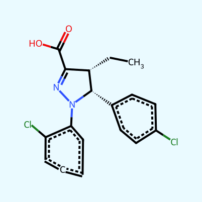 CC[C@H]1C(C(=O)O)=NN(c2ccccc2Cl)[C@H]1c1ccc(Cl)cc1